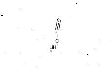 C#CCl.[LiH]